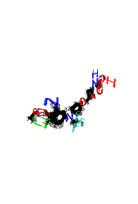 N#Cc1cc(N(CC(F)(F)F)c2ccc(OCC34CC(NC(=O)O)(C3)C4)cc2)cc(Cl)c1OC1CC1